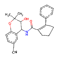 CC1(C)Oc2ccc(C#N)cc2C(NC(=O)C2=C(c3ccccc3)CCC2)C1O